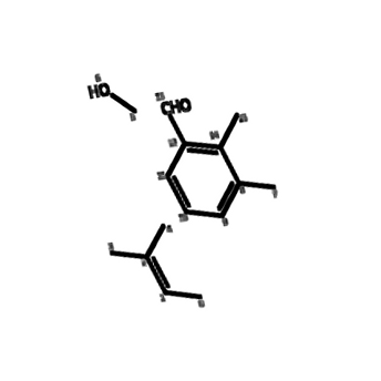 CC=C(C)C.CO.Cc1cccc(C=O)c1C